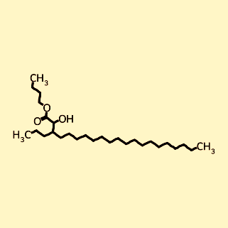 CCCCCCCCCCCCCCCCCCC(CCC)C(O)C(=O)OCCCC